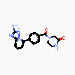 Nc1nc2cccc(-c3ccc(C(=O)N4CCNC(=O)C4)cc3)n2n1